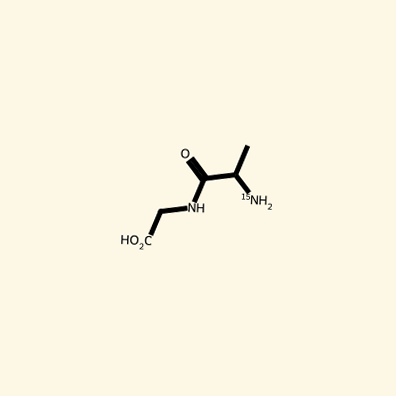 CC([15NH2])C(=O)NCC(=O)O